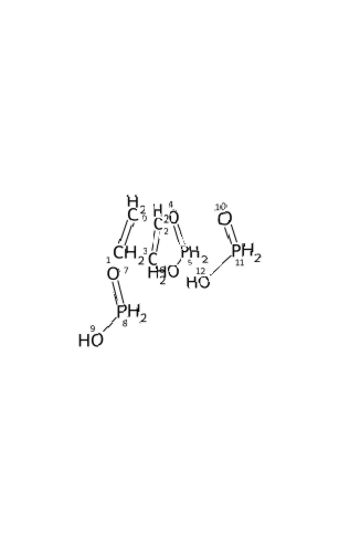 C=C.C=C.O=[PH2]O.O=[PH2]O.O=[PH2]O